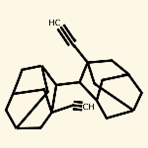 C#CC12CC3CC(CC(C3)C1C1C3CC4CC(C3)CC1(C#C)C4)C2